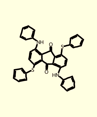 O=C1c2c(Nc3ccccc3)ccc(Sc3ccccc3)c2C(=O)c2c(Nc3ccccc3)ccc(Sc3ccccc3)c21